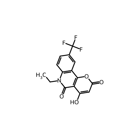 CCn1c(=O)c2c(O)cc(=O)oc2c2cc(C(F)(F)F)ccc21